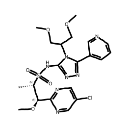 COCC(COC)n1c(NS(=O)(=O)[C@@H](C)[C@H](OC)c2ncc(Cl)cn2)nnc1-c1cccnc1